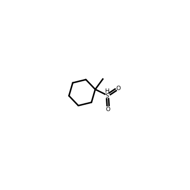 CC1([SH](=O)=O)CCCCC1